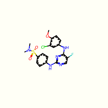 COc1ccc(Nc2nc(Nc3ccc(S(=O)(=O)N(C)C)cc3)ncc2F)cc1Cl